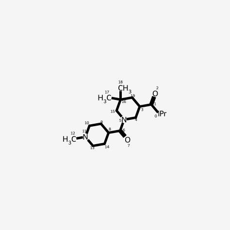 CC(C)C(=O)C1CN(C(=O)C2CCN(C)CC2)CC(C)(C)C1